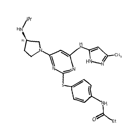 CCC(=O)Nc1ccc(Sc2nc(Nc3cc(C)n[nH]3)cc(N3CC[C@@H](NC(C)C)C3)n2)cc1